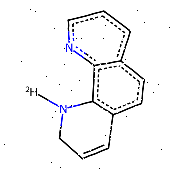 [2H]N1CC=Cc2ccc3cccnc3c21